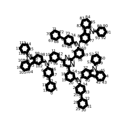 c1ccc(-c2ccc(N(c3cccc(-c4cc(-c5cccc(N(c6ccc(-c7ccccc7)cc6)c6ccc7c(c6)c6ccccc6n7-c6ccccc6)c5)nc(-c5cccc(N(c6ccc(-c7ccccc7)cc6)c6ccc7c(c6)c6ccccc6n7-c6ccccc6)c5)n4)c3)c3ccc4c(c3)c3ccccc3n4-c3ccccc3)cc2)cc1